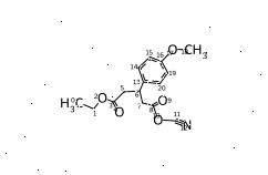 CCOC(=O)CC(CC(=O)OC#N)c1ccc(OC)cc1